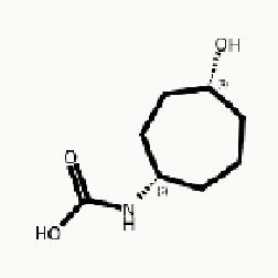 O=C(O)N[C@H]1CCC[C@@H](O)CC1